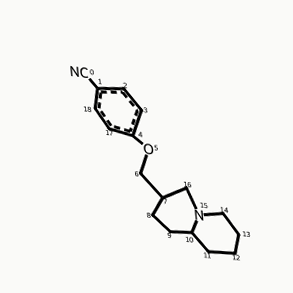 N#Cc1ccc(OCC2CCC3CCCCN3C2)cc1